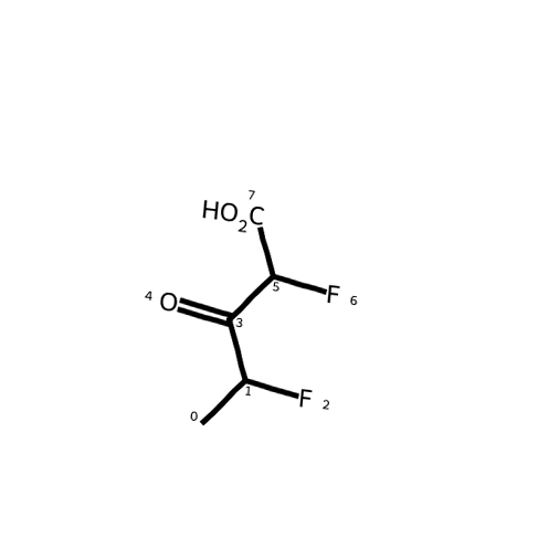 CC(F)C(=O)C(F)C(=O)O